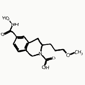 COCCCC1Cc2cc(C(=O)NO)ccc2CN1C(=O)O